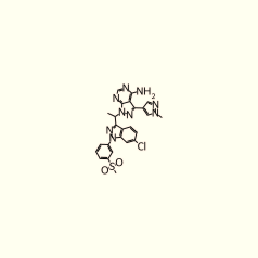 CC(c1nn(-c2cccc(S(C)(=O)=O)c2)c2cc(Cl)ccc12)n1nc(-c2cnn(C)c2)c2c(N)ncnc21